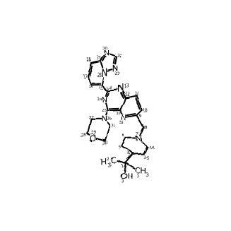 CC(C)(O)C1CCN(Cc2ccc3nc(-c4cccc5ncnn45)nc(N4CCOCC4)c3n2)CC1